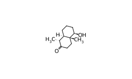 C[C@H]1C(=O)CC[C@@]2(C)[C@H](O)CCC[C@H]12